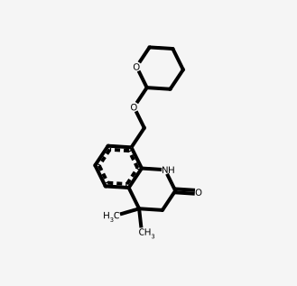 CC1(C)CC(=O)Nc2c(COC3CCCCO3)cccc21